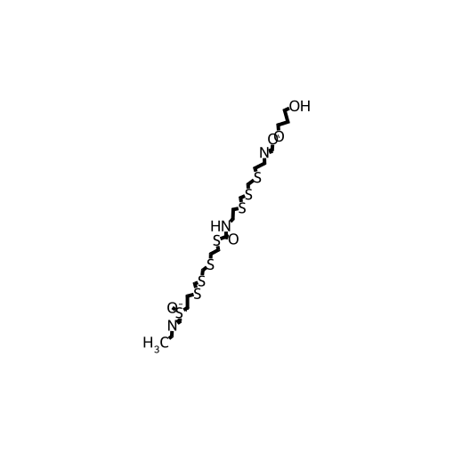 CC/N=C/[S+]([O-])CCSCSCSCCSC(=O)NCCSCSCSCC/N=C/OOCCCO